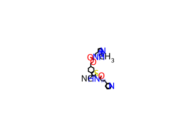 Cn1nccc1CNC(=O)OCC1CCc2c(sc(NC(=O)/C=C/c3cccnc3)c2C#N)C1